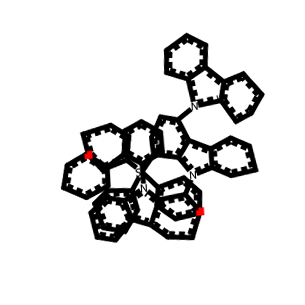 c1ccc(-c2ccccc2-n2c3ccccc3c3cccc(-n4c5ccccc5c5c(-n6c7ccccc7c7ccccc76)ccc([Si](c6ccccc6)(c6ccccc6)c6ccccc6)c54)c32)cc1